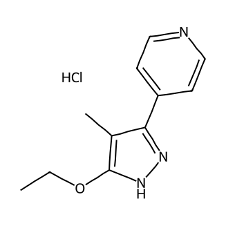 CCOc1[nH]nc(-c2ccncc2)c1C.Cl